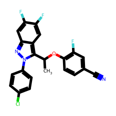 CC(Oc1ccc(C#N)cc1F)c1c2cc(F)c(F)cc2nn1-c1ccc(Cl)cc1